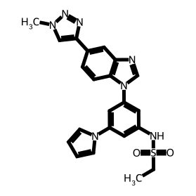 CCS(=O)(=O)Nc1cc(-n2cccc2)cc(-n2cnc3cc(-c4cn(C)nn4)ccc32)c1